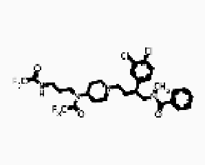 CN(CC(CCN1CCC(N(CCCNC(=O)C(F)(F)F)C(=O)C(F)(F)F)CC1)c1ccc(Cl)c(Cl)c1)C(=O)c1ccccc1